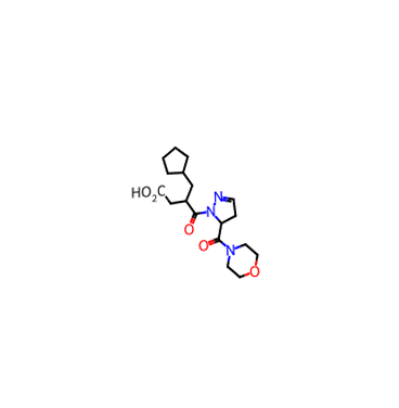 O=C(O)CC(CC1CCCC1)C(=O)N1N=CCC1C(=O)N1CCOCC1